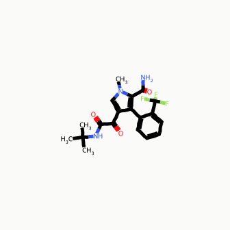 Cn1cc(C(=O)C(=O)NC(C)(C)C)c(-c2ccccc2C(F)(F)F)c1C(N)=O